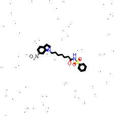 O=C(CCCCCCn1ccc2ccc([N+](=O)[O-])cc21)NS(=O)(=O)c1ccccc1